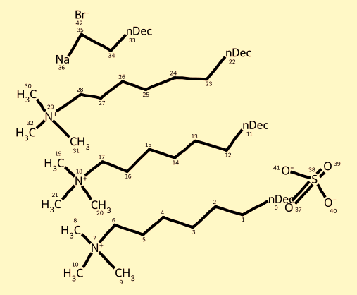 CCCCCCCCCCCCCCCC[N+](C)(C)C.CCCCCCCCCCCCCCCC[N+](C)(C)C.CCCCCCCCCCCCCCCC[N+](C)(C)C.CCCCCCCCCCC[CH2][Na].O=S(=O)([O-])[O-].[Br-]